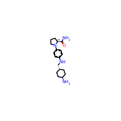 NC(=O)[C@@H]1CCCN1c1ccc(NC[C@H]2CC[C@H](N)CC2)cc1